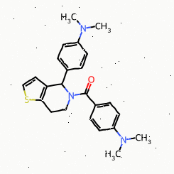 CN(C)c1ccc(C(=O)N2CCc3sccc3C2c2ccc(N(C)C)cc2)cc1